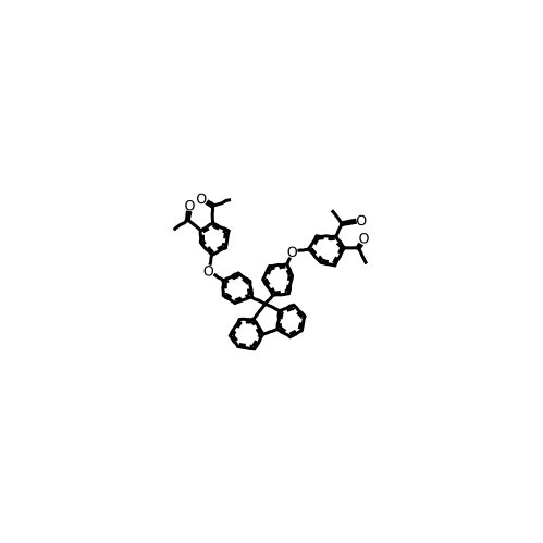 CC(=O)c1ccc(Oc2ccc(C3(c4ccc(Oc5ccc(C(C)=O)c(C(C)=O)c5)cc4)c4ccccc4-c4ccccc43)cc2)cc1C(C)=O